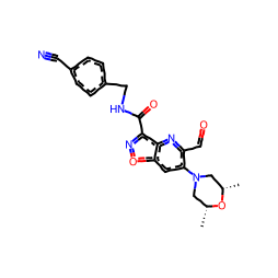 C[C@@H]1CN(c2cc3onc(C(=O)NCc4ccc(C#N)cc4)c3nc2C=O)C[C@H](C)O1